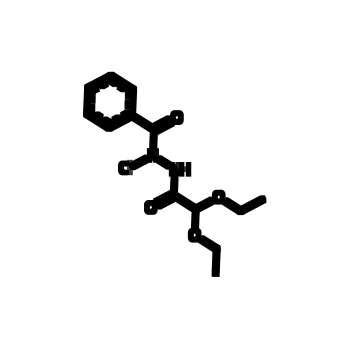 CCOC(OCC)C(=O)NN(Cl)C(=O)c1ccccc1